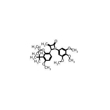 C=C1C(=O)N(c2cc(OC)c(OC)c(OC)c2)[C@H]1c1ccc(OC)c(C(C)(C)C)c1O[SiH](C)C